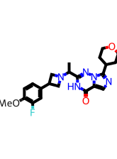 COc1ccc(C2CN(C(C)c3nn4c(C5CCOCC5)ncc4c(=O)[nH]3)C2)cc1F